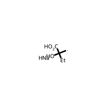 [CH2]C(O)(CC)C(=O)O.[NaH]